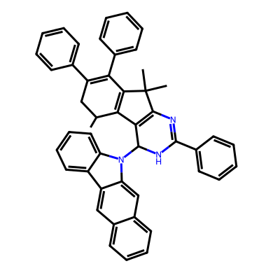 CC1CC(c2ccccc2)=C(c2ccccc2)C2=C1C1=C(N=C(c3ccccc3)NC1n1c3ccccc3c3cc4ccccc4cc31)C2(C)C